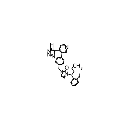 CCCC(c1ccccc1I)n1ccn(Cc2ccc(-c3cnccc3-c3nnn[nH]3)cc2)c1=O